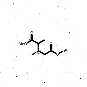 CCCOC(=O)C[C@@H](C)C(C)C(=O)OC